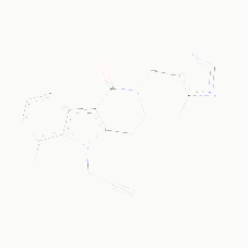 C#CCn1c2c(c3cccc(F)c31)C(=O)N(Cc1nc[nH]c1C)CC2